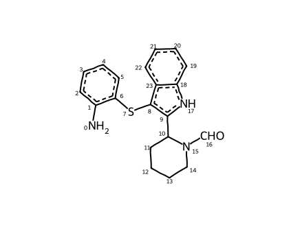 Nc1ccccc1Sc1c(C2CCCCN2C=O)[nH]c2ccccc12